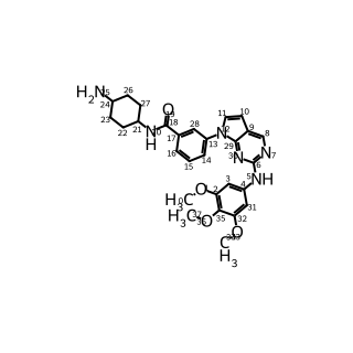 COc1cc(Nc2ncc3ccn(-c4cccc(C(=O)NC5CCC(N)CC5)c4)c3n2)cc(OC)c1OC